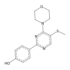 CSc1cnc(-c2ccc(O)cc2)nc1N1CCOCC1